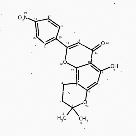 CC1(C)CCc2c(cc(O)c3c(=O)cc(-c4ccc([N+](=O)[O-])cc4)oc23)O1